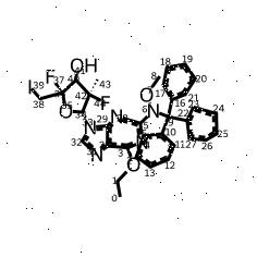 CCOc1nc(N(OC)C(c2ccccc2)(c2ccccc2)c2ccccc2)nc2c1ncn2[C@@H]1O[C@](F)(CI)[C@@H](O)[C@@]1(C)F